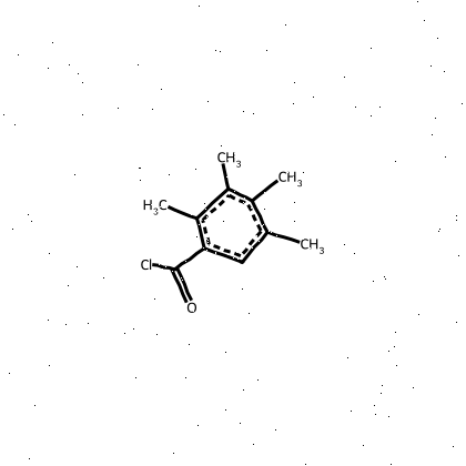 Cc1cc(C(=O)Cl)c(C)c(C)c1C